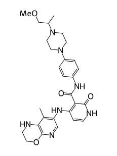 COCC(C)N1CCN(c2ccc(NC(=O)c3c(Nc4cnc5c(c4C)NCCO5)cc[nH]c3=O)cc2)CC1